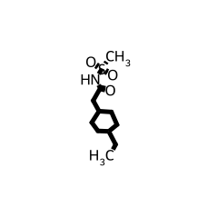 CCC1CCC(CC(=O)NS(C)(=O)=O)CC1